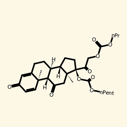 CCCCCOC(=O)O[C@]1(C(=O)COC(=O)OCCC)CC[C@H]2[C@@H]3CCC4=CC(=O)C=C[C@]4(C)[C@H]3C(=O)C[C@@]21C